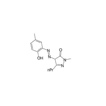 CCCC1=NN(C)C(=O)C1/N=N/c1cc(C)ccc1O